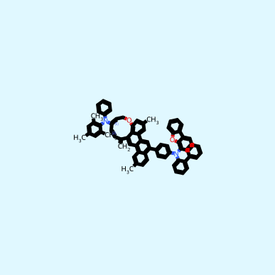 C=C1/C=C\C(N(c2ccccc2)c2c(C)cc(C)cc2C)=C/COc2cc(C)cc3c2c1cc1c2cc(C)ccc2c(-c2ccc(N(c4ccccc4-c4ccccc4)c4cccc5c4oc4ccccc45)cc2)cc31